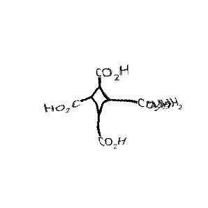 O=C(O)C1C(C(=O)O)C(C(=O)O)C1C(=O)O.[MgH2]